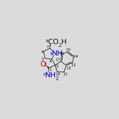 NC(=O)C1(C2CC[C@@H](C(=O)O)N2)CCc2ccccc21